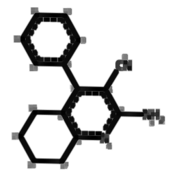 N#Cc1c(N)nc2c(c1-c1ccccc1)CCCC2